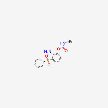 CC(C)(C)NC(=O)Oc1cccc(S(=O)(=O)c2ccccc2)c1N